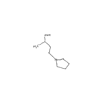 CCCC(C)C(C)CCN1CCCC1